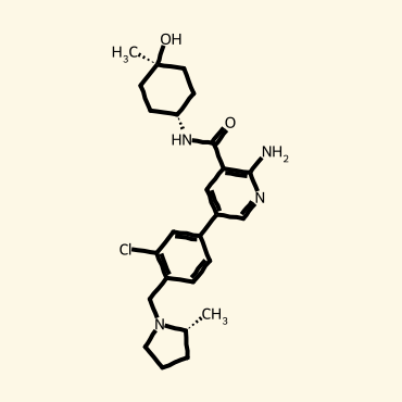 C[C@@H]1CCCN1Cc1ccc(-c2cnc(N)c(C(=O)N[C@H]3CC[C@](C)(O)CC3)c2)cc1Cl